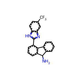 NC1c2ccccc2-c2c(-c3nc4cc(C(F)(F)F)ccc4[nH]3)cccc21